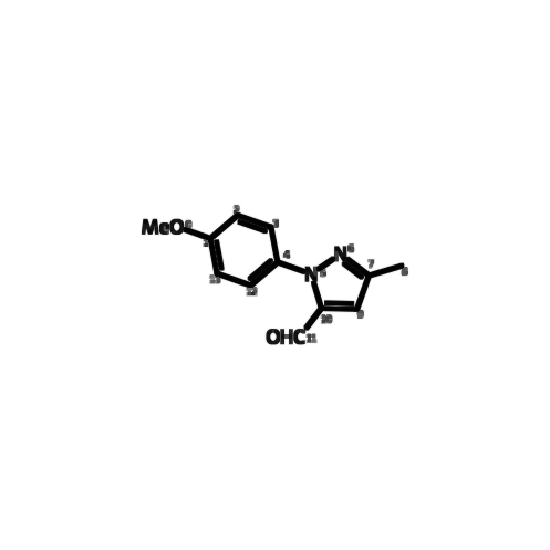 COc1ccc(-n2nc(C)cc2C=O)cc1